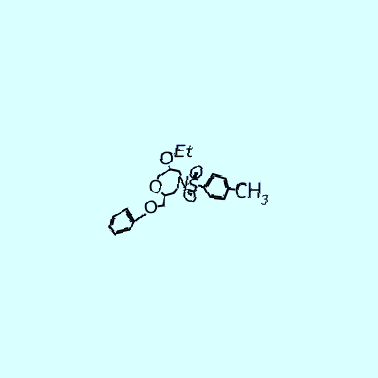 CCO[C@H]1CO[C@H](COCc2ccccc2)CN(S(=O)(=O)c2ccc(C)cc2)C1